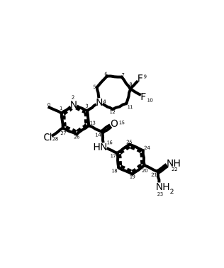 Cc1nc(N2CCCC(F)(F)CC2)c(C(=O)Nc2ccc(C(=N)N)cc2)cc1Cl